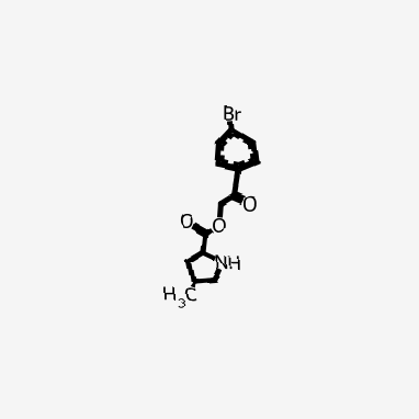 C[C@@H]1CNC(C(=O)OCC(=O)c2ccc(Br)cc2)C1